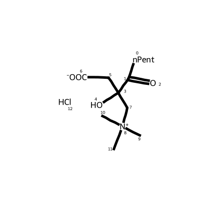 CCCCCC(=O)C(O)(CC(=O)[O-])C[N+](C)(C)C.Cl